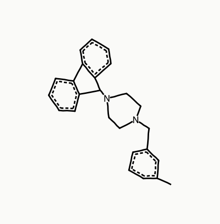 Cc1cccc(CN2CCN(C3c4ccccc4-c4ccccc43)CC2)c1